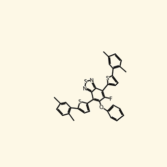 Cc1ccc(C)c(-c2ccc(-c3c(F)c(Oc4ccccc4)c(-c4ccc(-c5cc(C)ccc5C)s4)c4nsnc34)s2)c1